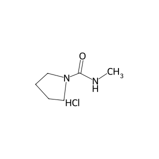 CNC(=O)N1CCCC1.Cl